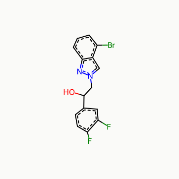 OC(Cn1cc2c(Br)cccc2n1)c1ccc(F)c(F)c1